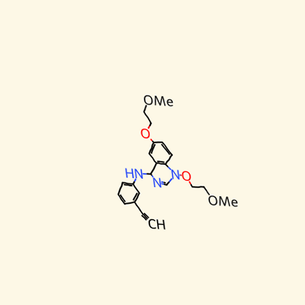 C#Cc1cccc(NC2N=CN(OCCOC)c3ccc(OCCOC)cc32)c1